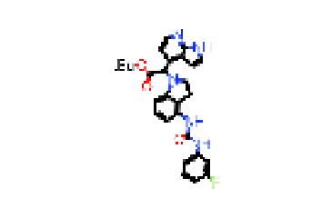 CC(C)(C)OC(=O)C(c1ccnc2[nH]ccc12)N1CCc2c(NC(=O)Nc3cccc(F)c3)cccc21